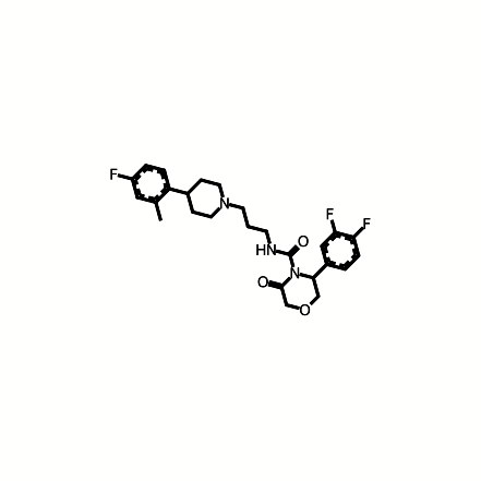 Cc1cc(F)ccc1C1CCN(CCCNC(=O)N2C(=O)COCC2c2ccc(F)c(F)c2)CC1